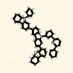 c1ccc(-c2cccc(-c3cccc(-n4c5ccc(-c6ccc7c8ccccc8n(-c8ccccc8)c7c6)cc5c5ccc(-c6cccc7c6oc6ccccc67)cc54)c3)n2)cc1